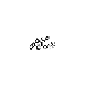 O=C(Cc1ccsc1)Nc1cccc(-c2nn3ccccc3c2-c2ccnc(Nc3cccc(CNC(=O)C(F)(F)F)c3)n2)c1